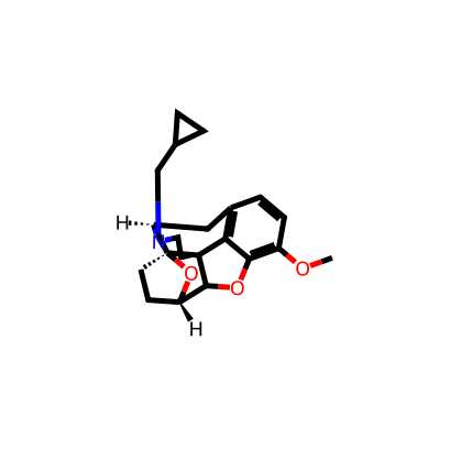 COc1ccc2c3c1OC1[C@@H]4CC[C@]5(O4)[C@H](C2)N(CC2CC2)CC[C@@]315